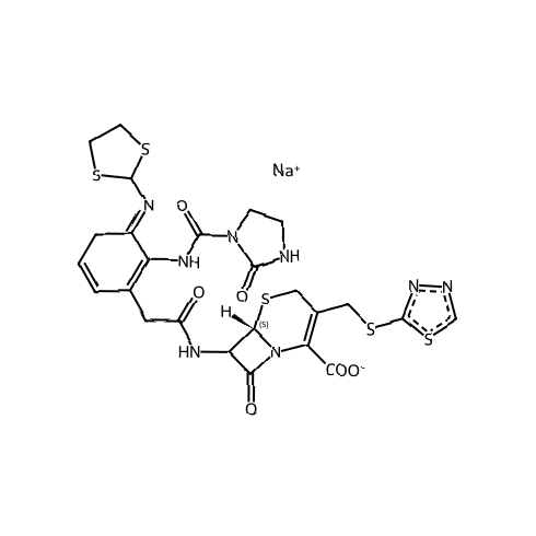 O=C(CC1=C(NC(=O)N2CCNC2=O)C(=NC2SCCS2)CC=C1)NC1C(=O)N2C(C(=O)[O-])=C(CSc3nncs3)CS[C@@H]12.[Na+]